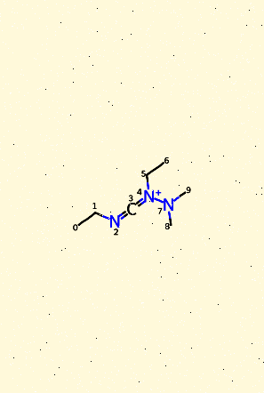 CCN=C=[N+](CC)N(C)C